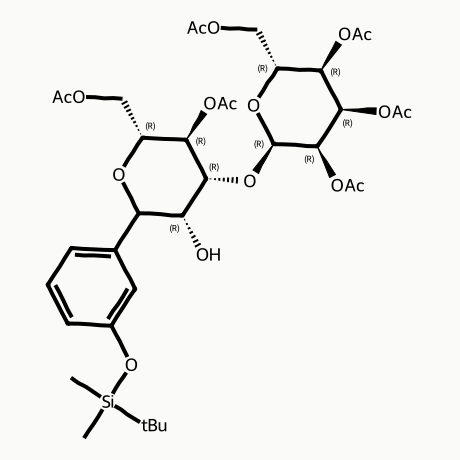 CC(=O)OC[C@H]1O[C@H](O[C@H]2[C@H](OC(C)=O)[C@@H](COC(C)=O)OC(c3cccc(O[Si](C)(C)C(C)(C)C)c3)[C@H]2O)[C@H](OC(C)=O)[C@H](OC(C)=O)[C@@H]1OC(C)=O